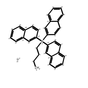 CCCC[B-](c1ccc2ccccc2c1)(c1ccc2ccccc2c1)c1ccc2ccccc2c1.[Li+]